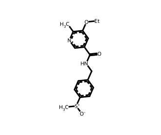 CCOc1cc(C(=O)NCc2ccc([S+](C)[O-])cc2)cnc1C